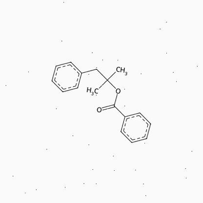 CC(C)(Cc1ccccc1)OC(=O)c1ccccc1